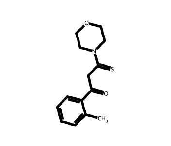 Cc1ccccc1C(=O)CC(=S)N1CCOCC1